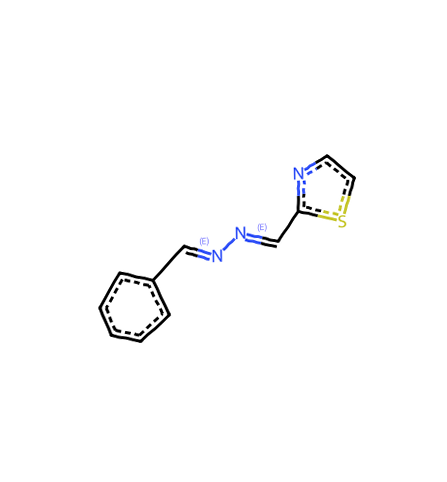 C(=N\N=C\c1nccs1)/c1ccccc1